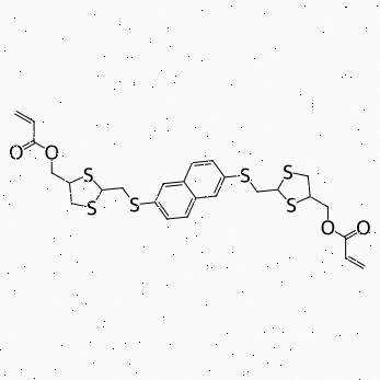 C=CC(=O)OCC1CSC(CSc2ccc3cc(SCC4SCC(COC(=O)C=C)S4)ccc3c2)S1